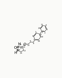 c1ccc(-c2ccc(CCCO[C@@H]3CC[C@H]4O[C@@H]34)cc2)cc1